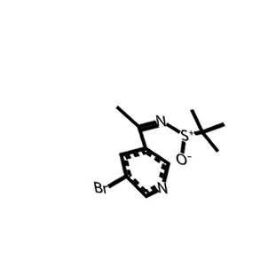 C/C(=N/[S+]([O-])C(C)(C)C)c1cncc(Br)c1